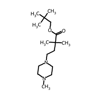 CN1CCN(CCC(C)(C)C(=O)OCC(C)(C)C)CC1